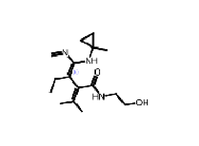 C=N/C(NC1(C)CC1)=C(\CC)C(C(=O)NCCO)=C(C)C